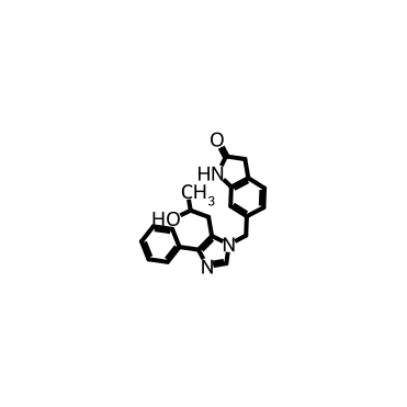 CC(O)Cc1c(-c2ccccc2)ncn1Cc1ccc2c(c1)NC(=O)C2